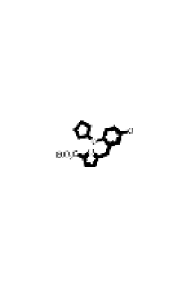 CCOC(=O)c1ccc(Cc2cc(Cl)ccc2OC2CCCC2)o1